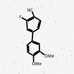 COc1ccc(-c2ccc(C#N)c(F)c2)cc1OC